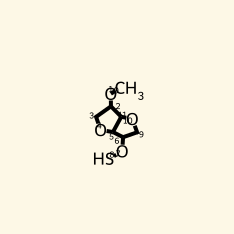 COC1COC2C(OS)COC12